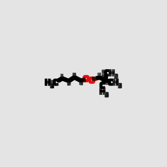 CCCCCOOCC(C)(C)C